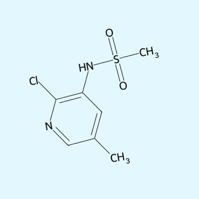 Cc1cnc(Cl)c(NS(C)(=O)=O)c1